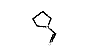 O=CN1C[CH]CC1